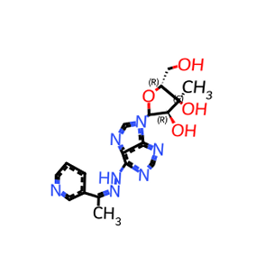 CC(=NNc1ncnc2c1ncn2C1O[C@H](CO)[C@@](C)(O)[C@H]1O)c1cccnc1